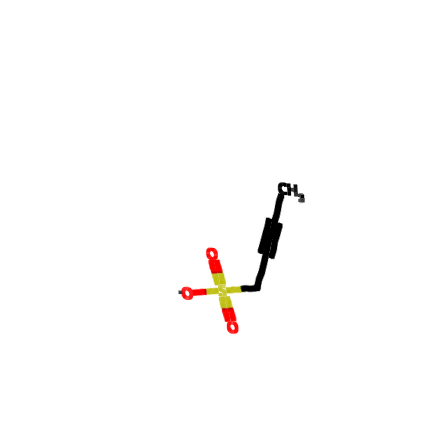 CC#CCS([O])(=O)=O